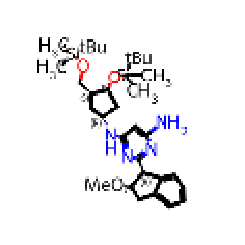 CO[C@H]1Cc2ccccc2[C@@H]1c1nc(N)cc(N[C@@H]2C[C@@H](CO[Si](C)(C)C(C)(C)C)[C@@H](O[Si](C)(C)C(C)(C)C)C2)n1